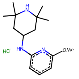 COc1cccc(NC2CC(C)(C)NC(C)(C)C2)n1.Cl